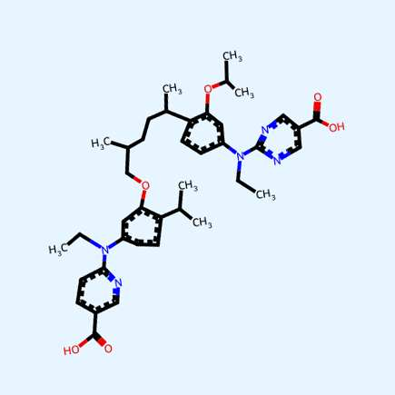 CCN(c1ccc(C(C)C)c(OCC(C)CCC(C)c2ccc(N(CC)c3ncc(C(=O)O)cn3)cc2OC(C)C)c1)c1ccc(C(=O)O)cn1